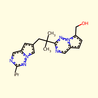 CC(C)c1ncc2cc(CC(C)(C)c3ncc4ccc(CO)n4n3)cn2n1